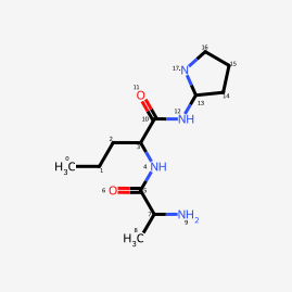 CCCC(NC(=O)C(C)N)C(=O)NC1CCC[N]1